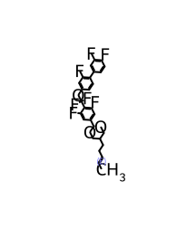 C/C=C/CCC1COC(c2cc(F)c(C(F)(F)Oc3ccc(-c4ccc(F)c(F)c4)c(F)c3)c(F)c2)OC1